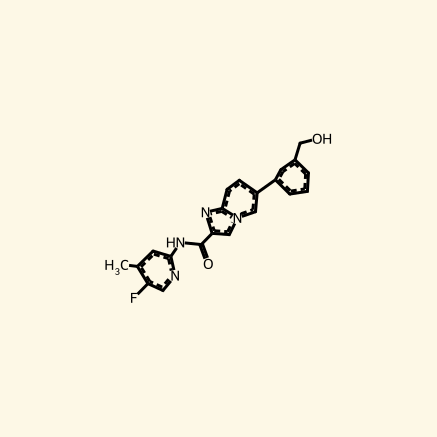 Cc1cc(NC(=O)c2cn3cc(-c4cccc(CO)c4)ccc3n2)ncc1F